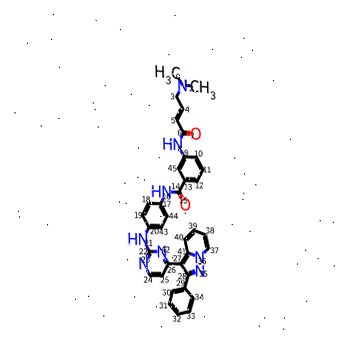 CN(C)CC=CC(=O)Nc1cccc(C(=O)Nc2ccc(Nc3nccc(-c4c(-c5ccccc5)nn5ccccc45)n3)cc2)c1